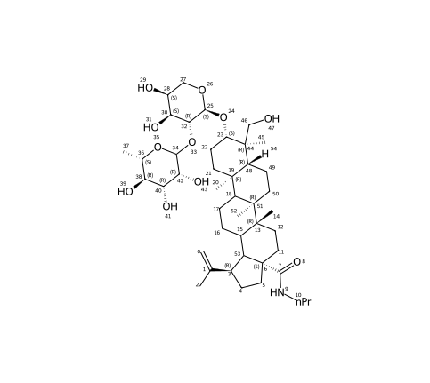 C=C(C)[C@@H]1CC[C@]2(C(=O)NCCC)CC[C@]3(C)C(CCC4[C@@]5(C)CC[C@H](O[C@@H]6OC[C@H](O)[C@H](O)[C@H]6OC6O[C@@H](C)[C@H](O)[C@@H](O)[C@H]6O)[C@@](C)(CO)[C@@H]5CC[C@]43C)C12